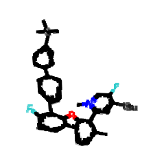 Cc1ccc2c(oc3c(-c4ccc(-c5ccc([Si](C)(C)C)cc5)cc4)c(F)ccc32)c1-c1cc(C(C)(C)C)c(F)c[n+]1C